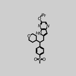 CC(C)Oc1cnc2cc(CC(c3ccc(S(C)(=O)=O)cc3)C3CCOCC3)[nH]c2n1